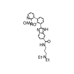 CCN(CC)CCCNC(=O)c1ccc2nc(-c3cccc(-c4cccnc4OC)c3O)[nH]c2c1